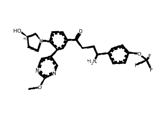 COc1ncc(-c2cc(C(=O)CCC(N)c3ccc(OC(F)(F)I)cc3)ccc2N2CC[C@@H](O)C2)cn1